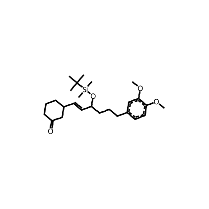 COc1ccc(CCCC(C=CC2CCCC(=O)C2)O[Si](C)(C)C(C)(C)C)cc1OC